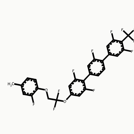 Cc1ccc(OCC(F)(F)Oc2cc(F)c(-c3ccc(-c4cc(F)c(C(F)(F)F)c(F)c4)c(F)c3)c(F)c2)c(F)c1